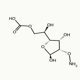 NO[C@H]1[C@@H](O)[C@@H]([C@H](O)COC(=O)O)O[C@@H]1O